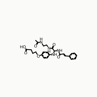 CC(=O)NCCNC(=O)C(NC(=O)/C=C/c1ccccc1)Nc1ccc(OCCCC(=O)O)cc1